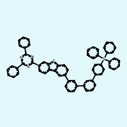 c1ccc(-c2nc(-c3ccccc3)nc(-c3ccc4c(c3)sc3ccc(-c5cccc(-c6cccc(-c7ccc([Si](c8ccccc8)(c8ccccc8)c8ccccc8)cc7)c6)c5)cc34)n2)cc1